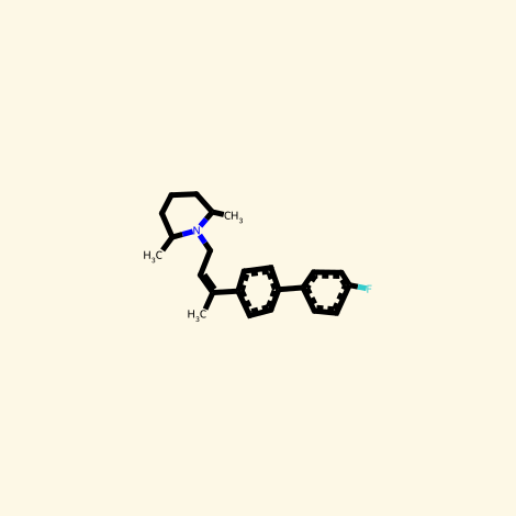 CC(=CCN1C(C)CCCC1C)c1ccc(-c2ccc(F)cc2)cc1